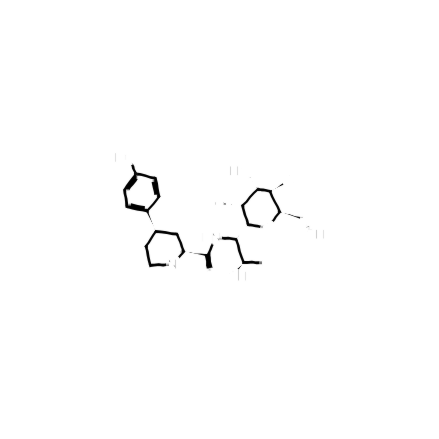 CS[C@H]1O[C@H](C(NC(=O)[C@@H]2C[C@H](c3ccc(C)cc3)CCN2)[C@H](C)Cl)[C@H](O)[C@H](O)[C@H]1O